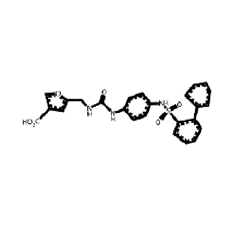 O=C(NCc1cc(C(=O)O)co1)Nc1ccc(NS(=O)(=O)c2ccccc2-c2ccccc2)cc1